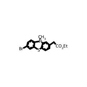 CCOC(=O)Cc1ccc2c(c1)N(C)c1ccc(Br)cc1S2